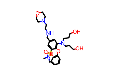 CN(C)S(=O)(=O)c1cc(CNCCN2CCOCC2)cc(N(CCCO)CCCO)c1Oc1ccccc1